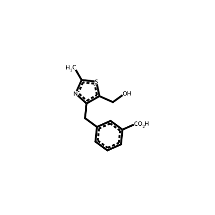 Cc1nc(Cc2cccc(C(=O)O)c2)c(CO)s1